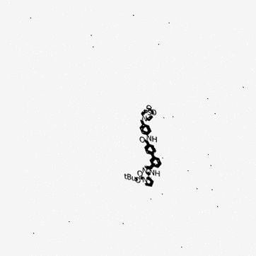 CC(C)(C)OC(=O)N1CCC[C@H]1c1ncc(-c2cccc(-c3ccc(C(=O)Nc4ccc(CN5CCS(=O)(=O)CC5)cc4)cc3)c2)[nH]1